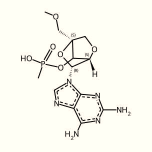 COC[C@]12CO[C@@H](C1OP(C)(=O)O)[C@H](n1cnc3c(N)nc(N)nc31)O2